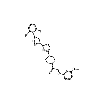 COc1ccnc(OCC(=O)N2CCC(c3nc(C4=NOC(c5c(F)cccc5F)C4)cs3)CC2)c1